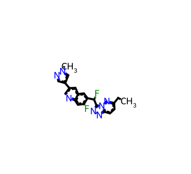 CCc1ccc2nnc(C(F)c3cc4cc(-c5cnn(C)c5)cnc4cc3F)n2n1